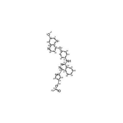 COc1cnc2c(Oc3ccc(Nc4nnc(-c5cc(COC(C)=O)cs5)c5ccccc45)cc3)ccnc2c1